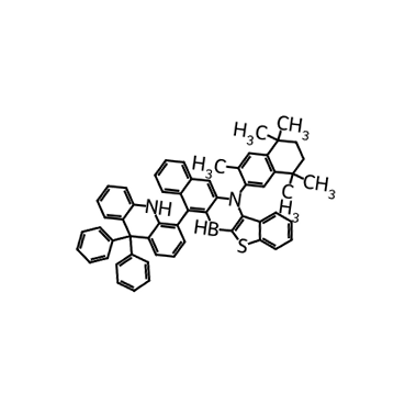 Cc1cc2c(cc1N1c3cc4ccccc4c(-c4cccc5c4Nc4ccccc4C5(c4ccccc4)c4ccccc4)c3Bc3sc4ccccc4c31)C(C)(C)CCC2(C)C